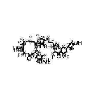 CC[C@H]1OC(=O)[C@H](C)C([C@H]2C[C@@](C)(OC)[C@@H](O)[C@H](C)O2)[C@H](C)[C@@H](O[C@@H]2O[C@H](C)C[C@H](N(C)CCc3cn([C@H](CF)[C@H](OC)c4ccc(-c5ccc(O)nc5)cc4)nn3)[C@H]2O)[C@](C)(O)C[C@@H](C)CN(C)[C@H](C)[C@@H](O)[C@]1(C)O